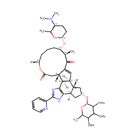 CC[C@H]1CCC[C@H](O[C@H]2CC[C@H](N(C)C)C(C)O2)[C@@H](C)C(=O)C2=C[C@H]3[C@@H]4C[C@H](OC5OC(C)C(OC)C(OC)C5OC)C[C@H]4c4[nH]c(-c5ccccn5)nc4[C@H]3[C@@H]2CC(=O)O1